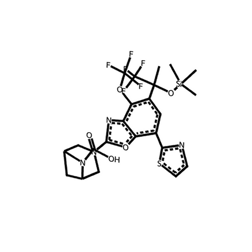 CC(O[Si](C)(C)C)(c1cc(-c2nccs2)c2oc(N3CC4CC(C3)N4C(=O)O)nc2c1OC(F)(F)F)C(F)(F)F